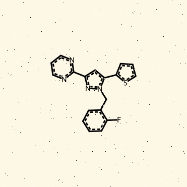 Fc1ccccc1Cn1nc(-c2ncccn2)cc1-c1cccs1